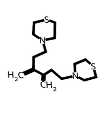 C=C(CCN1CCSCC1)C(=C)CCN1CCSCC1